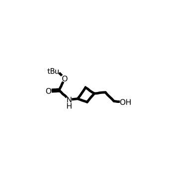 CC(C)(C)OC(=O)NC1CC(CCO)C1